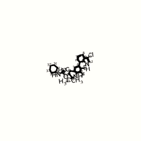 C[C@@H]1c2cc(-c3cccc4c(Cl)c[nH]c34)c(F)c(F)c2NC(C)(C)[C@H]1OC(=O)NC1CCCCC1